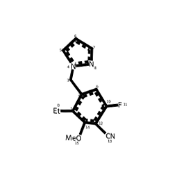 CCc1c(Cn2cccn2)cc(F)c(C#N)c1OC